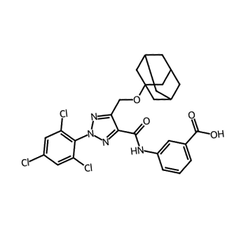 O=C(O)c1cccc(NC(=O)c2nn(-c3c(Cl)cc(Cl)cc3Cl)nc2COC23CC4CC(CC(C4)C2)C3)c1